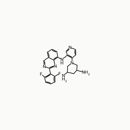 NC1CC(N)CN(c2ccncc2Nc2cccc3cnc(-c4c(F)cccc4F)nc23)C1